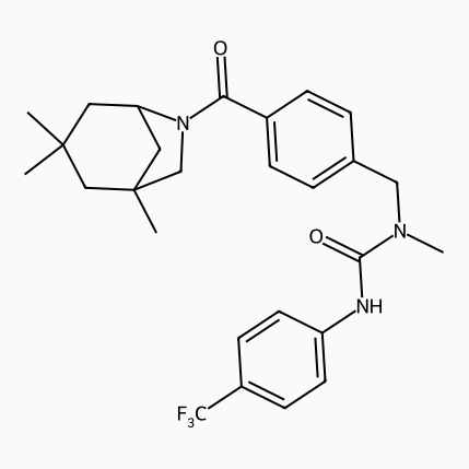 CN(Cc1ccc(C(=O)N2CC3(C)CC2CC(C)(C)C3)cc1)C(=O)Nc1ccc(C(F)(F)F)cc1